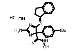 CC(C)(C)c1ccc(C2(C(=N)NO)N=C(N)N=C2N=C2CCc3ccccc32)cc1.Cl.Cl